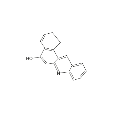 Oc1cc2nc3ccccc3cc2c2c1C=CCC2